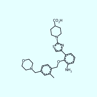 Cc1cc(CN2CCOCC2)ccc1COc1c(N)cccc1-c1csc(N2CCC(C(=O)O)CC2)n1